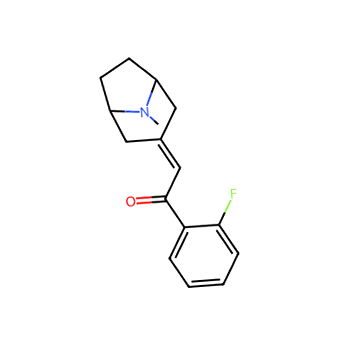 CN1C2CCC1CC(=CC(=O)c1ccccc1F)C2